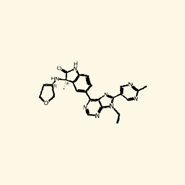 CCn1c(-c2cnc(C)nc2)nc2c(-c3ccc4c(c3)[C@@](C)(N[C@@H]3CCOC3)C(=O)N4)ncnc21